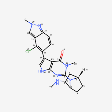 CN[C@@H]1C[C@@H]2CCC1N2c1nc2[nH]cc(-c3ccc4nn(C)cc4c3Cl)c2c(=O)n1C